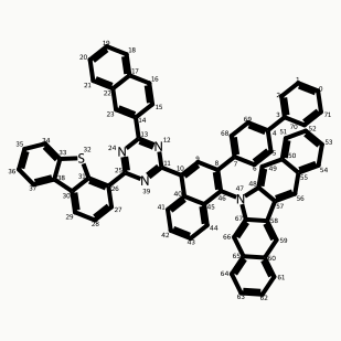 c1ccc(-c2ccc(-c3cc(-c4nc(-c5ccc6ccccc6c5)nc(-c5cccc6c5sc5ccccc56)n4)c4ccccc4c3-n3c4cc5ccccc5cc4c4cc5ccccc5cc43)cc2)cc1